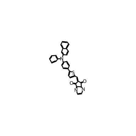 O=C1C(=Cc2ccc(-c3ccc(N(c4ccccc4)c4ccc5ccccc5c4)cc3)s2)C(=O)c2nccnc21